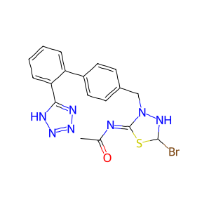 CC(=O)N=C1SC(Br)NN1Cc1ccc(-c2ccccc2-c2nnn[nH]2)cc1